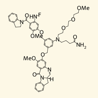 COCCOCCOCCN(CCCC(N)=O)c1cc(COc2cc3c(cc2OC)C(=O)N2c4ccccc4C[C@H]2C=N3)cc(COc2cc(NF)c(C(=O)N3CCc4ccccc43)cc2OC)c1